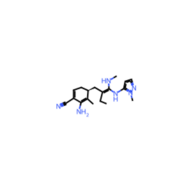 CC/C(C[C@@H]1CC=C(C#N)C(N)=C1C)=C(/NC)Nc1ccnn1C